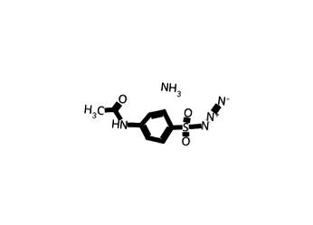 CC(=O)Nc1ccc(S(=O)(=O)N=[N+]=[N-])cc1.N